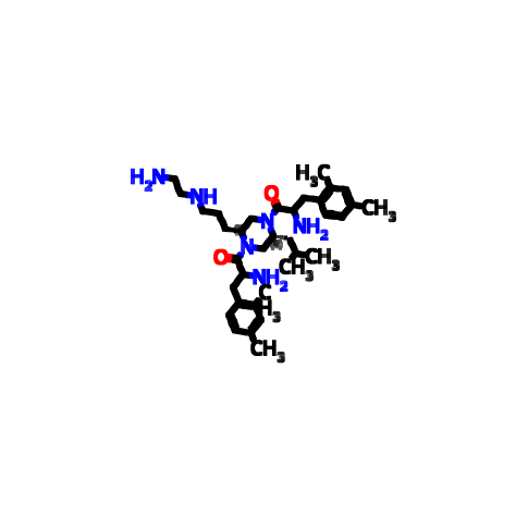 Cc1ccc(CC(N)C(=O)N2C[C@H](CCCNCCN)N(C(=O)C(N)Cc3ccc(C)cc3C)C[C@H]2CC(C)C)c(C)c1